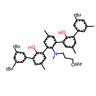 COCCCN(C)c1c(-c2cc(C)cc(-c3cc(C(C)(C)C)cc(C(C)(C)C)c3)c2O)cc(C)cc1-c1cc(C)cc(-c2cc(C(C)(C)C)cc(C(C)(C)C)c2)c1O